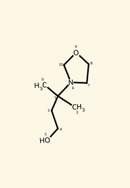 CC(C)(CCO)N1CCOC1